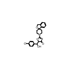 O=C1N=C(N2CCC3(CC2)OCc2ccccc23)OC1C(O)c1ccc(Cl)cc1